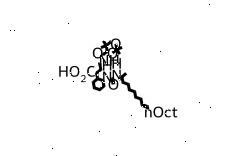 CCCCCCCCC=CCCCCCCC(C)NC(=O)NC1CCCCC1C(CCNC(=O)C1OC(C)(C)OCC1(C)C)C(=O)O